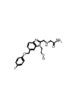 CCOCCn1c(CNCC(N)=O)nc2ccc(COc3ccc(F)cc3)cc21